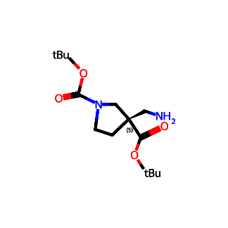 CC(C)(C)OC(=O)N1CC[C@@](CN)(C(=O)OC(C)(C)C)C1